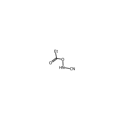 CCC(=O)ONC#N